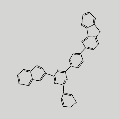 C1=CC(c2nc(-c3ccc(-c4ccc5oc6ccccc6c5c4)cc3)nc(-c3ccc4ccccc4c3)n2)=CCC1